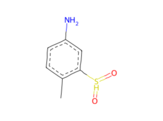 Cc1ccc(N)cc1[SH](=O)=O